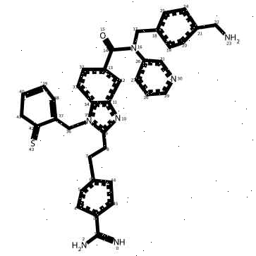 N=C(N)c1ccc(CCc2nc3cc(C(=O)N(Cc4ccc(CN)cc4)c4cccnc4)ccc3n2CC2=CC=CCC2=S)cc1